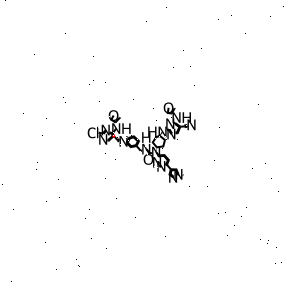 Cn1cc(-c2ccc(N(C(=O)NCc3ccccc3)[C@H]3CC[C@H](Nc4ncc(C#N)c(NC5COC5)n4)CC3)nn2)cn1.N#Cc1cnc(Cl)nc1NC1COC1